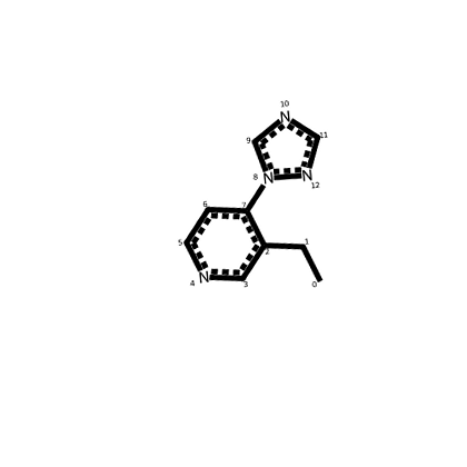 CCc1cnccc1-n1cncn1